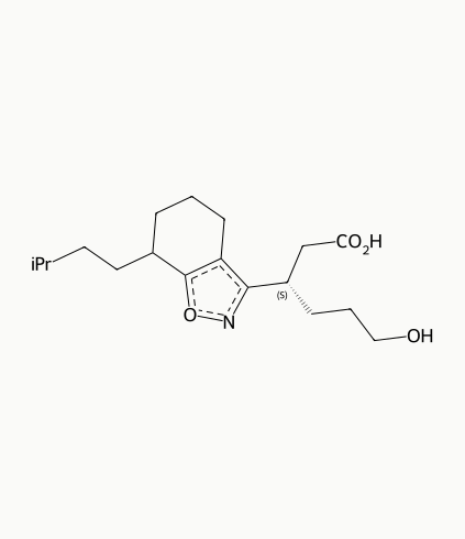 CC(C)CCC1CCCc2c([C@@H](CCCO)CC(=O)O)noc21